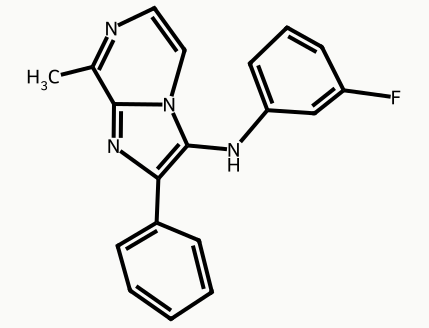 Cc1nccn2c(Nc3cccc(F)c3)c(-c3ccccc3)nc12